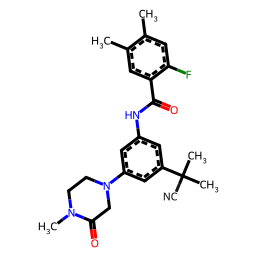 Cc1cc(F)c(C(=O)Nc2cc(N3CCN(C)C(=O)C3)cc(C(C)(C)C#N)c2)cc1C